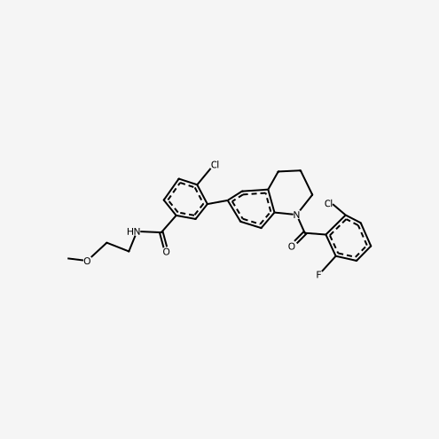 COCCNC(=O)c1ccc(Cl)c(-c2ccc3c(c2)CCCN3C(=O)c2c(F)cccc2Cl)c1